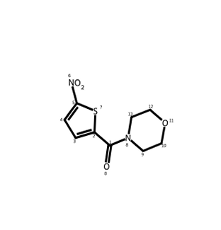 O=C(c1ccc([N+](=O)[O-])s1)N1CCOCC1